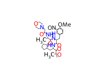 COc1ccc(CC(NC(=O)C(C)NC(=O)CN2CCOCC2)C(=O)NC(CC2CCCC2)C(=O)C2(C)CO2)cc1N=O